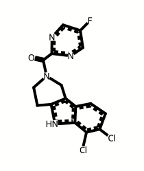 O=C(c1ncc(F)cn1)N1CCc2[nH]c3c(Cl)c(Cl)ccc3c2C1